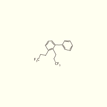 FC(F)(F)CCc1cccc(-c2ccccc2)c1CCC(F)(F)F